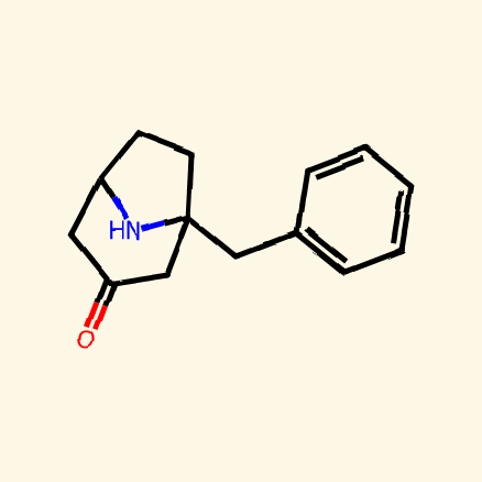 O=C1CC2CCC(Cc3ccccc3)(C1)N2